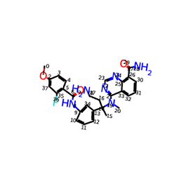 COc1ccc(C(=O)Nc2cccc(C(C)(CCN)N(C)c3ncnc4c(C(N)=O)cccc34)c2)c(F)c1